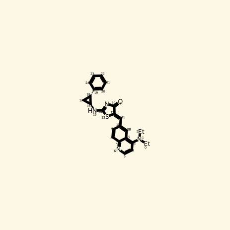 CCN(CC)c1ccnc2ccc(/C=C3\SC(N[C@H]4C[C@@H]4c4ccccc4)=NC3=O)cc12